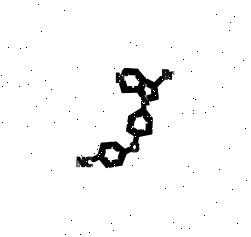 N#Cc1ccc(Oc2ccc(-n3cc(Br)c4ccncc43)cc2)cc1